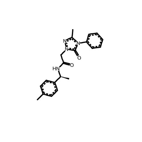 Cc1ccc([C@H](C)NC(=O)Cn2nc(C)n(-c3ccccc3)c2=O)cc1